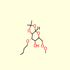 CCCCO[C@@H]1C2OC(C)(C)O[C@@H]2OC(COOC)[C@H]1O